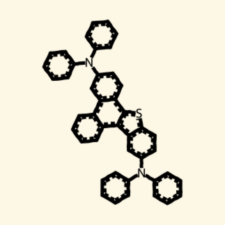 c1ccc(N(c2ccccc2)c2ccc3c(c2)c2ccccc2c2c4cc(N(c5ccccc5)c5ccccc5)ccc4sc32)cc1